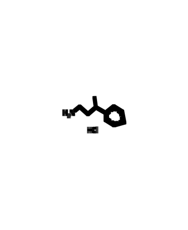 CC(CCN)c1ccccc1.Cl